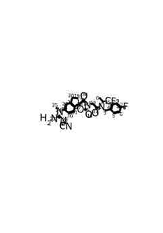 C[C@H](N(Cc1ccc(F)cc1)C(=O)CN1C(=O)O[C@@]2(CCc3cc(N(C)C(N)=NC#N)ccc32)C1=O)C(F)(F)F